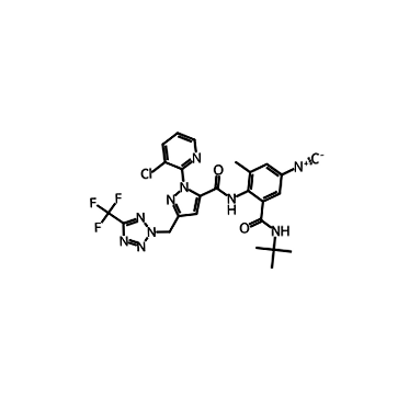 [C-]#[N+]c1cc(C)c(NC(=O)c2cc(Cn3nnc(C(F)(F)F)n3)nn2-c2ncccc2Cl)c(C(=O)NC(C)(C)C)c1